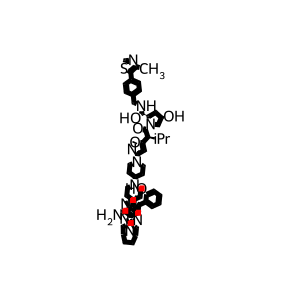 Cc1ncsc1-c1ccc(CNC(O)[C@@H]2C[C@@H](O)CN2C(=O)[C@H](c2cc(N3CCC(N4CCC(c5cnc(N6C7CCC6CN(c6cc(-c8ccccc8O)nnc6N)C7)nc5)CC4)CC3)no2)C(C)C)cc1